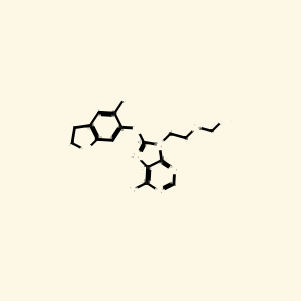 Cc1cc2c(cc1Sc1nc3c(N)ncnc3n1CCNCC(C)(C)C)OCC2